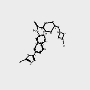 C=C(Nc1cc2cc(C3=CN=C(C)C3)ccc2cn1)C1CCC(CN2CC(F)C2)CC1